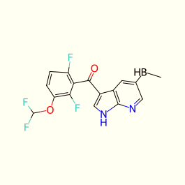 CBc1cnc2[nH]cc(C(=O)c3c(F)ccc(OC(F)F)c3F)c2c1